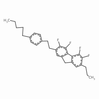 CCCCCc1ccc(CCc2cc3c(c(F)c2F)-c2c(cc(CCC)c(F)c2F)C3)cc1